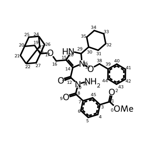 COC(=O)c1cccc(C(=O)N(N)C(=O)C2=C(COC34CC5CC(CC(C5)C3)C4)NC(C3CCCCC3)N2OCc2ccccc2)c1